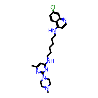 Cc1cc(NCCCCCCNc2ccnc3cc(Cl)ccc23)nc(N2CCN(C)CC2)n1